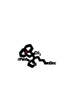 CCCCCCCCCCCCCCC(c1nccn1CCCCC)C(C)(Cc1ccccc1)c1ccccc1